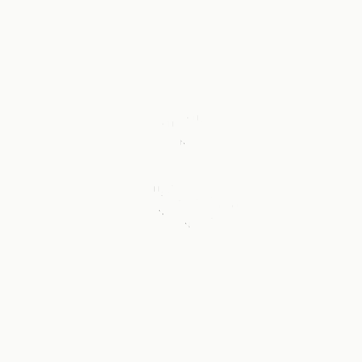 CCc1c(C2(c3ccc(N(CC)CC)cc3C)OC(=O)c3cccnc32)c2ccccc2n1CC